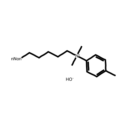 CCCCCCCCCCCCCC[N+](C)(C)c1ccc(C)cc1.[OH-]